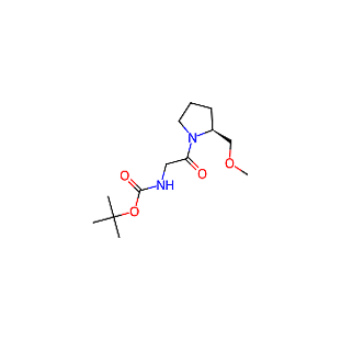 COC[C@@H]1CCCN1C(=O)CNC(=O)OC(C)(C)C